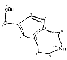 CCCCOc1ccc2c(n1)CCNC2